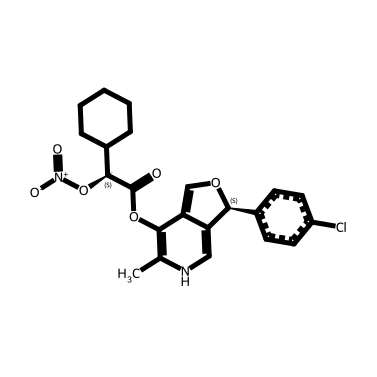 CC1=C(OC(=O)[C@@H](O[N+](=O)[O-])C2CCCCC2)C2=CO[C@@H](c3ccc(Cl)cc3)C2=CN1